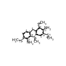 CSc1ccc(Cc2ccc(SC)c(N)c2SC)c(SC)c1N